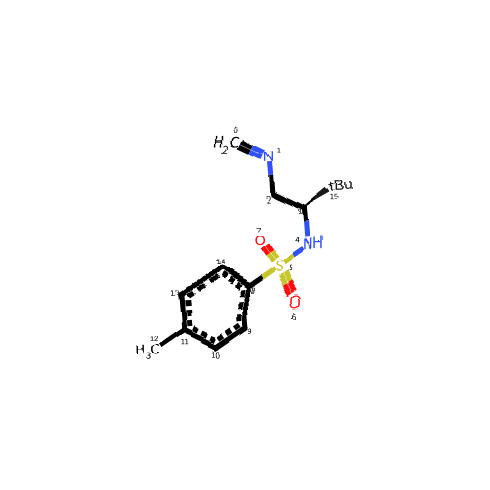 C=NC[C@H](NS(=O)(=O)c1ccc(C)cc1)C(C)(C)C